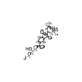 C=CCOCC(O)COC(=O)c1ccc2c(c1)C(=O)N(C1CC(C)(C)NC(C)(C)C1)C2=O